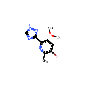 CC(C)(C)OC=O.Cc1nc(-c2nc[nH]n2)ccc1Br